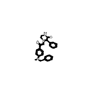 CN(Cc1ccccc1)c1ccc(C(=O)CN2CCNC(=O)C2c2ccccc2)cc1